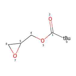 CC(C)(C)C(=O)OCC1CO1